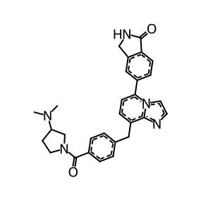 CN(C)C1CCN(C(=O)c2ccc(Cc3ccc(-c4ccc5c(c4)CNC5=O)n4ccnc34)cc2)C1